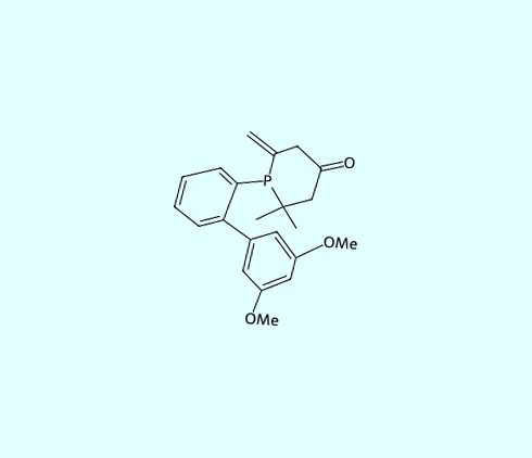 C=C1CC(=O)CC(C)(C)P1c1ccccc1-c1cc(OC)cc(OC)c1